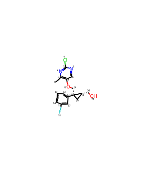 Cc1nc(Cl)ncc1OC[C@@]1(c2cccc(F)c2)C[C@H]1CO